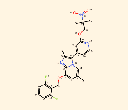 Cc1cc(OCc2c(F)cccc2F)c2nc(C)c(-c3ccnc(OCC(C)(C)[N+](=O)[O-])c3)n2c1